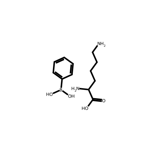 NCCCCC(N)C(=O)O.OB(O)c1ccccc1